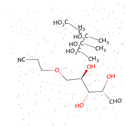 CC(=O)O.CC(=O)O.CC(=O)O.CC(=O)O.N#CCCOC[C@@H](O)[C@@H](O)[C@H](O)C=O